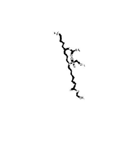 CCCCCC(CCCN(CCCCCCC(=O)OCC)S(=O)(=O)CC)OC(C)=O